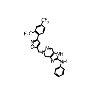 FC(F)(F)c1ccc(-c2cc(CN3Cc4nc(Nc5ccccc5)[nH]c4C=N3)on2)c(C(F)(F)F)c1